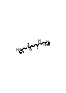 O=C(CCCC(=O)NCCc1ncc[nH]1)NCCc1ncc[nH]1